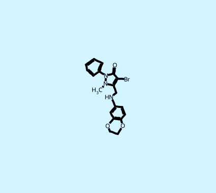 Cn1c(CNc2ccc3c(c2)OCCO3)c(Br)c(=O)n1-c1ccccc1